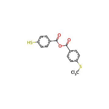 O=C(OC(=O)c1ccc(SC(Cl)(Cl)Cl)cc1)c1ccc(S)cc1